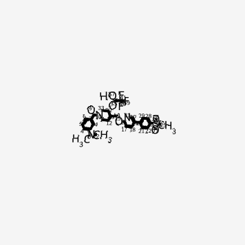 CN(C)c1cccc(C(=O)N2CCC(COc3ccc(-c4ccc(S(C)(=O)=O)cc4)cn3)CC2)c1.O=C(O)C(F)(F)F